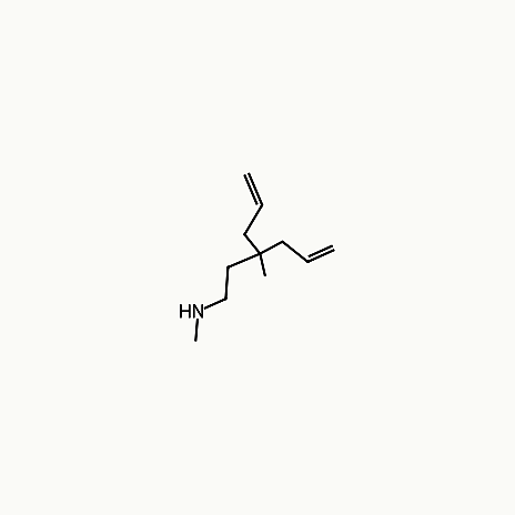 C=CCC(C)(CC=C)CCNC